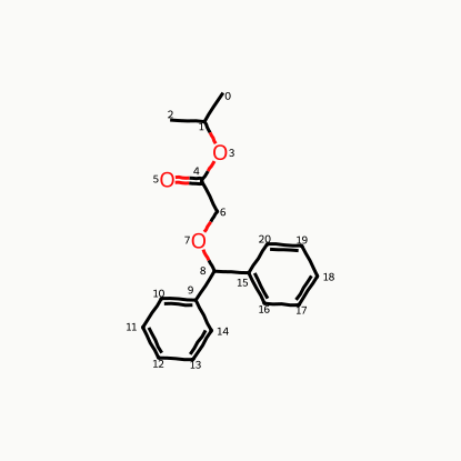 CC(C)OC(=O)COC(c1ccccc1)c1ccccc1